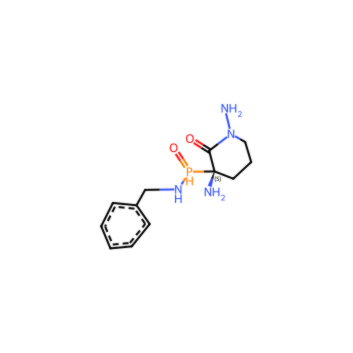 NN1CCC[C@](N)([PH](=O)NCc2ccccc2)C1=O